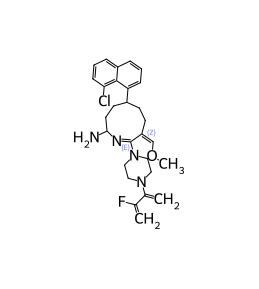 C=C(F)C(=C)N1CCN(/C2=N/C(N)CCC(c3cccc4cccc(Cl)c34)CC\C2=C\OC)CC1